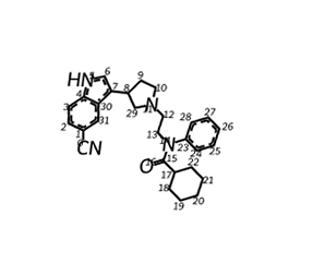 N#Cc1ccc2[nH]cc(C3CCN(CCN(C(=O)C4CCCCC4)c4ccccc4)C3)c2c1